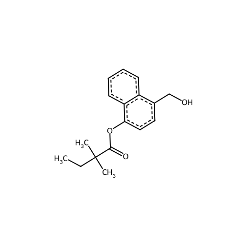 CCC(C)(C)C(=O)Oc1ccc(CO)c2ccccc12